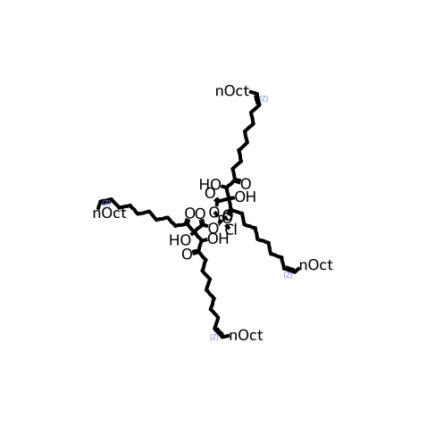 CCCCCCCC/C=C\CCCCCCCC(=O)C(O)C(O)(C(=O)CCCCCCC/C=C\CCCCCCCC)C(=O)OP(=O)(Cl)OC(=O)C(O)(C(=O)CCCCCCC/C=C\CCCCCCCC)C(O)C(=O)CCCCCCC/C=C\CCCCCCCC